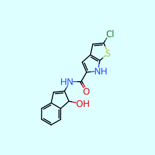 O=C(NC1=Cc2ccccc2C1O)c1cc2cc(Cl)sc2[nH]1